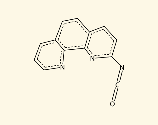 O=C=Nc1ccc2ccc3cccnc3c2n1